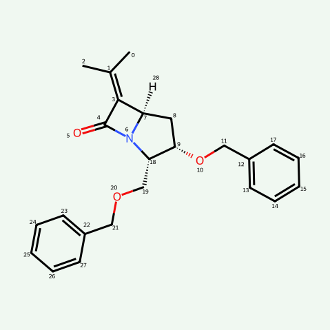 CC(C)=C1C(=O)N2[C@@H]1C[C@H](OCc1ccccc1)[C@@H]2COCc1ccccc1